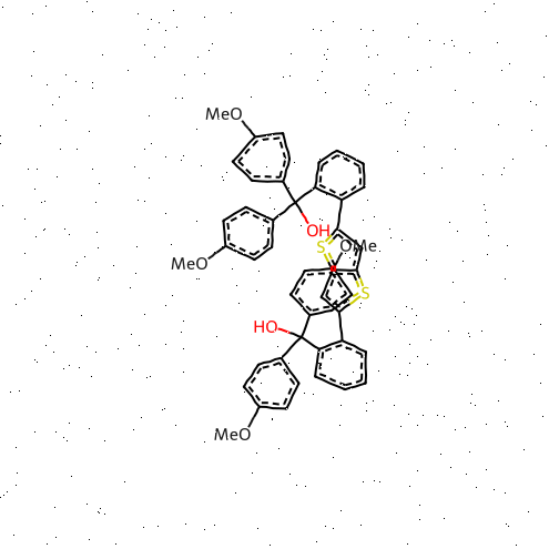 COc1ccc(C(O)(c2ccc(OC)cc2)c2ccccc2-c2cc3sc(-c4ccccc4C(O)(c4ccc(OC)cc4)c4ccc(OC)cc4)cc3s2)cc1